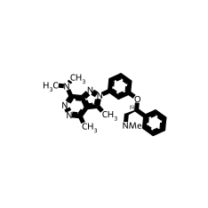 CNC[C@@H](Oc1cccc(-n2nc3c(N(C)C)nnc(C)c3c2C)c1)c1ccccc1